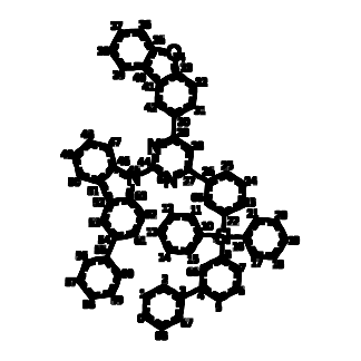 c1ccc(-c2cccc([Si](c3ccccc3)(c3ccccc3)c3cccc(-c4cc(-c5ccc6oc7ccccc7c6c5)nc(-n5c6ccccc6c6cc(-c7ccccc7)ccc65)n4)c3)c2)cc1